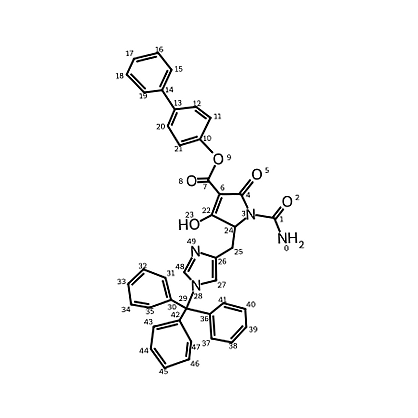 NC(=O)N1C(=O)C(C(=O)Oc2ccc(-c3ccccc3)cc2)=C(O)C1Cc1cn(C(c2ccccc2)(c2ccccc2)c2ccccc2)cn1